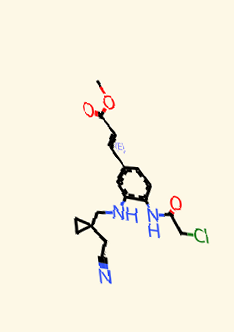 COC(=O)/C=C/c1ccc(NC(=O)CCl)c(NCC2(CC#N)CC2)c1